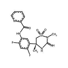 CN1C(=N)N[C@](C)(c2cc(NC(=O)c3ccccn3)c(F)cc2F)CS1(=O)=O